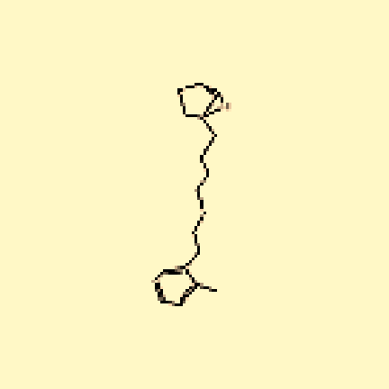 Cc1ccccc1CCCCCCCC12CCC(CN1)C2